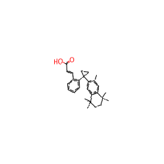 Cc1cc2c(cc1C1(c3ccccc3C=CC(=O)O)CC1)C(C)(C)CCC2(C)C